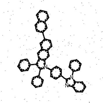 c1ccc(-c2c(-c3ccccc3)n(-c3ccc(-c4nc5ccccc5n4-c4ccccc4)cc3)c3cc4ccc(-c5ccc6ccccc6c5)cc4cc23)cc1